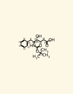 CC(C)(C)OC(=O)N[C@@H](Cc1ccccc1)[C@H](O)CCC(=O)O